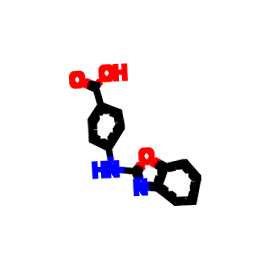 O=C(O)c1ccc(Nc2nc3ccccc3o2)cc1